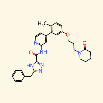 Cc1ccc(OCCCN2CCCCC2=O)cc1-c1ccnc(NC(=O)c2nnc(Cc3ccccc3)[nH]2)c1